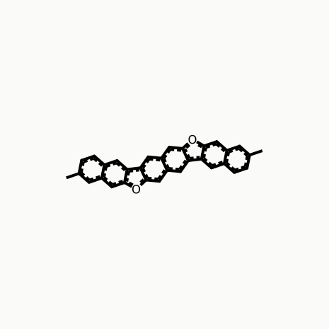 Cc1ccc2cc3c(cc2c1)oc1cc2cc4c(cc2cc13)oc1cc2cc(C)ccc2cc14